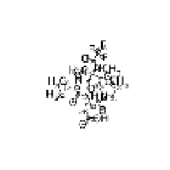 COCC(C)(C(=O)N(C)[C@H](C(=O)N[C@@H](CC(=O)O)C(=O)N1CCCC1)C(C)C)N(C)C(=O)C(F)(F)F